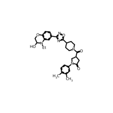 CCN1c2cc(-c3noc(C4CCN(C(=O)C5CC(=O)N(c6ccc(C)c(C)c6)C5)CC4)n3)ccc2OCC1O